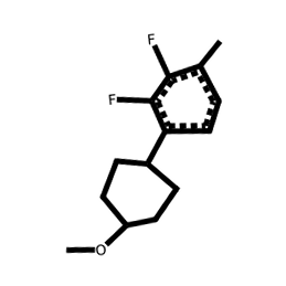 COC1CCC(c2ccc(C)c(F)c2F)CC1